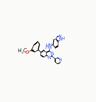 COc1cccc(-c2ccc3nc(-c4cccnc4)nc(Nc4ccc5[nH]ncc5c4)c3c2)c1